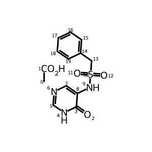 CC(=O)O.O=c1[nH]cncc1NS(=O)(=O)Cc1ccccc1